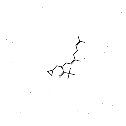 CC(C)=CCC/C(C)=C\CN(CC1CC1)C(=O)C(C)(C)C